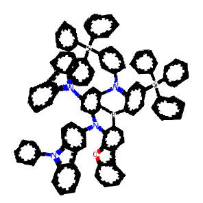 c1ccc(-n2c3ccccc3c3cc(N4c5cc(-n6c7ccccc7c7ccccc76)cc6c5B(c5ccc([Si](c7ccccc7)(c7ccccc7)c7ccccc7)cc5N6c5cccc([Si](c6ccccc6)(c6ccccc6)c6ccccc6)c5)c5ccc6c(oc7ccccc76)c54)ccc32)cc1